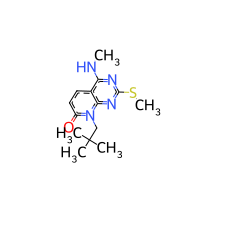 CNc1nc(SC)nc2c1ccc(=O)n2CC(C)(C)C